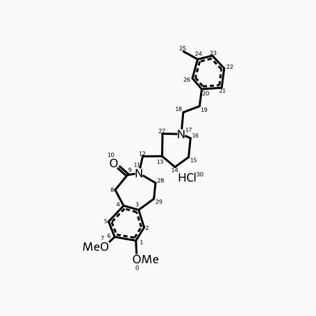 COc1cc2c(cc1OC)CC(=O)N(CC1CCCN(CCc3cccc(C)c3)C1)CC2.Cl